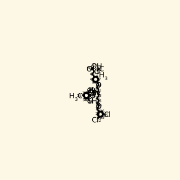 CCOC(Cc1ccc(OCCN(CCCCOCc2cc(Cl)cc(Cl)c2)C(=O)Oc2c(C)cc(C)cc2C)cc1)C(=O)O